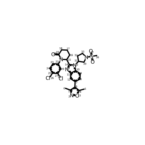 Cc1noc(C)c1-c1ccc2c(c1)nc(C1CCCC(=O)N1c1ccc(Cl)c(Cl)c1)n2C1CCN(S(C)(=O)=O)C1